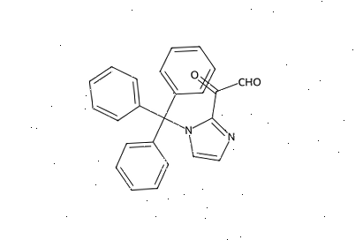 O=CC(=O)c1nccn1C(c1ccccc1)(c1ccccc1)c1ccccc1